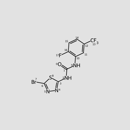 O=C(Nc1nnc(Br)s1)Nc1cc(C(F)(F)F)ccc1F